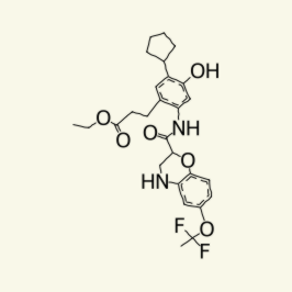 CCOC(=O)CCc1cc(C2CCCC2)c(O)cc1NC(=O)C1CNc2cc(OC(C)(F)F)ccc2O1